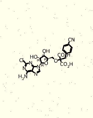 N#Cc1ccc(CC(OC[C@H]2O[C@@H](n3cnc4c(N)nc(Cl)nc43)[C@H](O)[C@@H]2O)(C(=O)O)C(=O)O)cc1